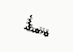 CCOC(=O)CC(=O)c1cc(C(CC(C)C)NC(=O)Cc2ccc(NC(=O)Nc3ccccc3Cl)cc2)no1